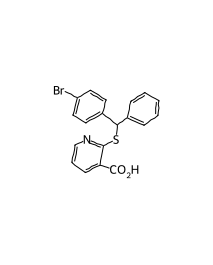 O=C(O)c1cccnc1SC(c1ccccc1)c1ccc(Br)cc1